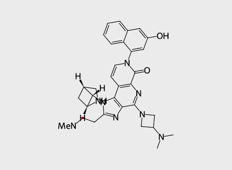 CNCCc1nc2c(N3CC(N(C)C)C3)nc3c(=O)n(-c4cc(O)cc5ccccc45)ccc3c2n1[C@H]1[C@H]2CN[C@@H]1C2